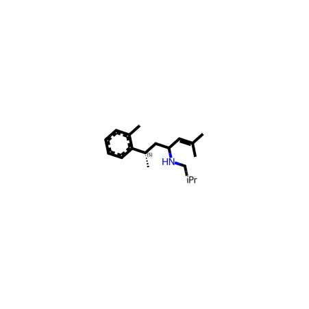 CC(C)=CC(C[C@H](C)c1ccccc1C)NCC(C)C